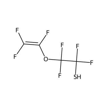 FC(F)=C(F)OC(F)(F)C(F)(F)S